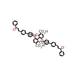 O=C(C=Cc1ccc(-c2ccc(Oc3ccc(C(=O)O)c(C(=O)O)c3-c3c(Oc4ccc(-c5ccc(C=CC(=O)c6ccccc6)cc5)cc4)ccc(C(=O)O)c3C(=O)O)cc2)cc1)c1ccccc1